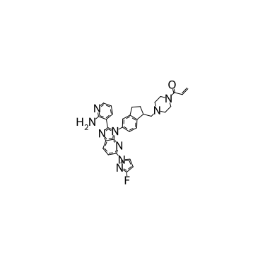 C=CC(=O)N1CCN(CC2CCc3cc(-n4c(-c5cccnc5N)nc5ccc(-n6ccc(F)n6)nc54)ccc32)CC1